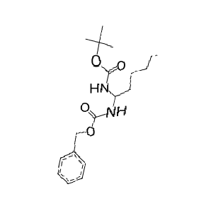 [CH2]CCCC(NC(=O)OCc1ccccc1)NC(=O)OC(C)(C)C